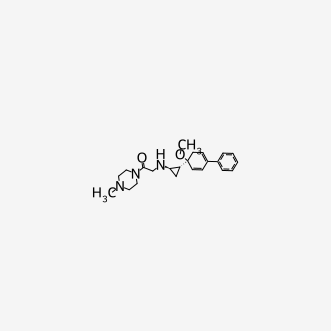 COC1([C@@H]2C[C@H]2NCC(=O)N2CCN(C)CC2)C=CC(c2ccccc2)=CC1